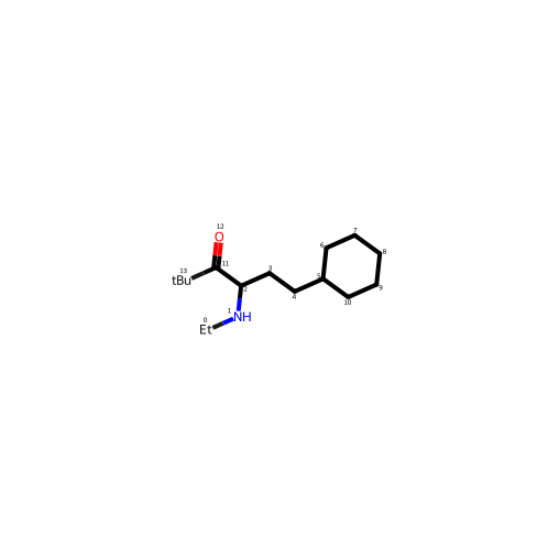 CCNC(CCC1CCCCC1)C(=O)C(C)(C)C